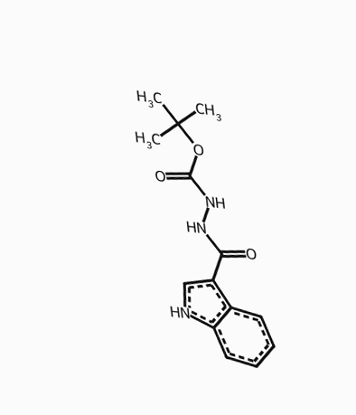 CC(C)(C)OC(=O)NNC(=O)c1c[nH]c2ccccc12